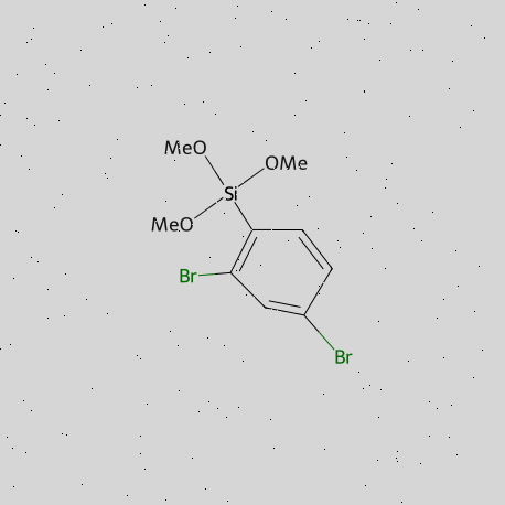 CO[Si](OC)(OC)c1ccc(Br)cc1Br